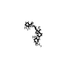 Cc1ccccc1C(=O)NCC#Cc1nn2c(N[C@@H]3CCN(C)C[C@@H]3F)cccc2c1CC(F)(F)F